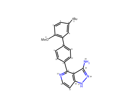 COc1[c]cc(C(C)(C)C)cc1-c1ccc(-c2nccc3[nH]nc(N)c23)cc1